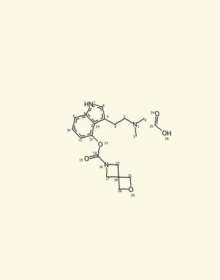 CN(C)CCc1c[nH]c2cccc(OC(=O)N3CC4(COC4)C3)c12.O=CO